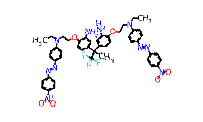 CCN(CCOc1ccc(C(C)(c2ccc(OCCN(CC)c3ccc(/N=N/c4ccc([N+](=O)[O-])cc4)cc3)c(N)c2)C(F)(F)F)cc1N)c1ccc(/N=N/c2ccc([N+](=O)[O-])cc2)cc1